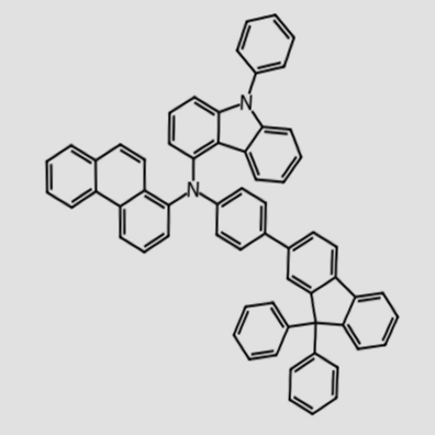 c1ccc(-n2c3ccccc3c3c(N(c4ccc(-c5ccc6c(c5)C(c5ccccc5)(c5ccccc5)c5ccccc5-6)cc4)c4cccc5c4ccc4ccccc45)cccc32)cc1